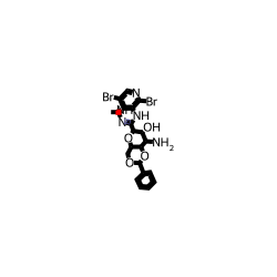 CC(=N)/N=C(\Nc1cc(Br)cnc1Br)C1OC2COC(c3ccccc3)OC2C(N)C1O